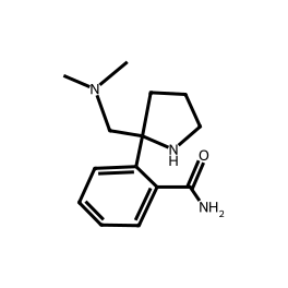 CN(C)CC1(c2ccccc2C(N)=O)CCCN1